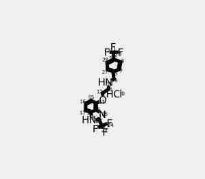 Cl.FC(F)(F)c1ccc(CNCCOc2cccc3[nH]c(C(F)(F)F)nc23)cc1